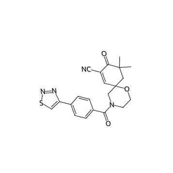 CC1(C)CC2(C=C(C#N)C1=O)CN(C(=O)c1ccc(-c3csnn3)cc1)CCO2